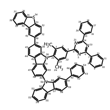 Cc1cc(-c2nc(-c3ccccc3)nc(-c3ccccc3)n2)cc(C)c1-n1c2cc(-c3ccc4sc5ccccc5c4c3)ccc2c2ccc(-n3c4ccccc4c4ccc(-c5ccccc5)cc43)cc21